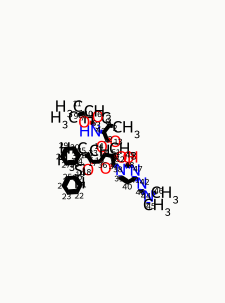 CC(C)C(NC(=O)OC(C)(C)C)C(=O)OC1C(C(O[SiH](c2ccccc2)c2ccccc2)C(C)(C)C)OC(n2ccc(N=CN(C)C)nc2=O)C1(C)O